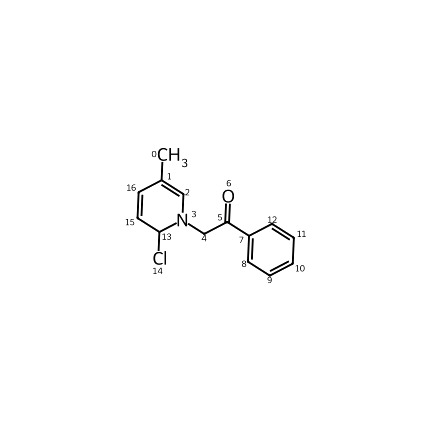 CC1=CN(CC(=O)c2ccccc2)C(Cl)C=C1